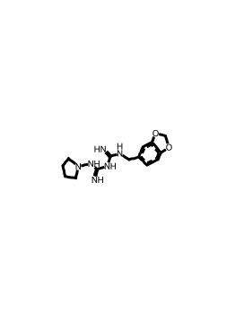 N=C(NCc1ccc2c(c1)OCO2)NC(=N)NN1CCCC1